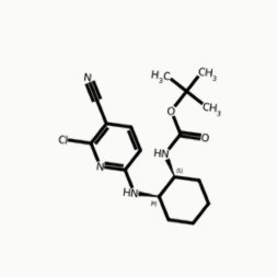 CC(C)(C)OC(=O)N[C@H]1CCCC[C@H]1Nc1ccc(C#N)c(Cl)n1